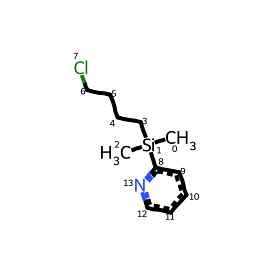 C[Si](C)(CCCCCl)c1ccccn1